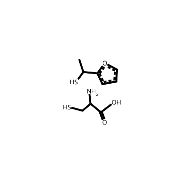 CC(S)c1ccco1.NC(CS)C(=O)O